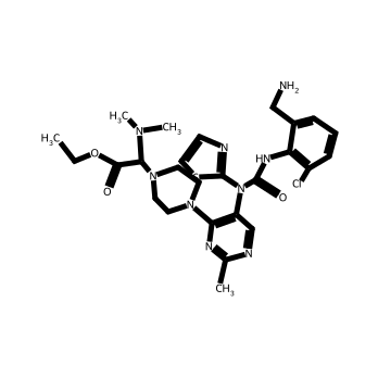 CCOC(=O)C(N(C)C)N1CCN(c2nc(C)ncc2N(C(=O)Nc2c(Cl)cccc2CN)c2nccs2)CC1